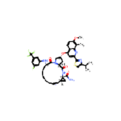 COc1ccc2c(O[C@@H]3C[C@H]4C(=O)N[C@]5(C(N)=O)C[C@H]5/C=C\CCCCC[C@H](Nc5cc(F)cc(C(F)(F)F)c5)C(=O)N4C3)cc(-c3nc(C(C)C)cs3)nc2c1C